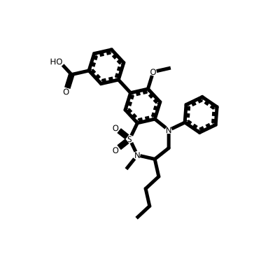 CCCCC1CN(c2ccccc2)c2cc(OC)c(-c3cccc(C(=O)O)c3)cc2S(=O)(=O)N1C